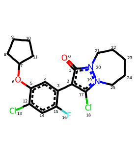 O=c1c(-c2cc(OC3CCCC3)c(Cl)cc2F)c(Cl)n2n1CCCCC2